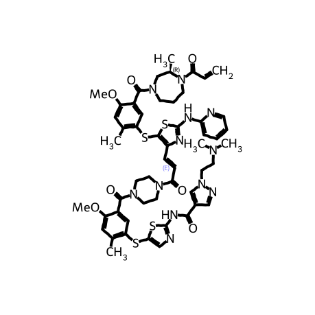 C=CC(=O)N1CCCN(C(=O)c2cc(Sc3sc(Nc4ccccn4)nc3/C=C/C(=O)N3CCN(C(=O)c4cc(Sc5cnc(NC(=O)c6cnn(CCN(C)C)c6)s5)c(C)cc4OC)CC3)c(C)cc2OC)C[C@H]1C